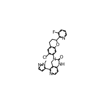 Cn1nccc1-c1nccc2c1CN(c1cc3c(cc1Cl)CCC(c1ncccc1F)O3)C(=O)N2